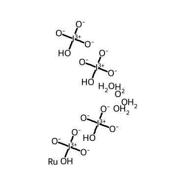 O.O.O.O.[O-][I+3]([O-])([O-])O.[O-][I+3]([O-])([O-])O.[O-][I+3]([O-])([O-])O.[O-][I+3]([O-])([O-])O.[Ru]